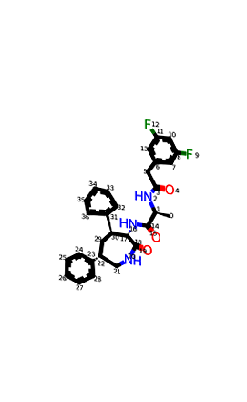 C[C@H](NC(=O)Cc1cc(F)cc(F)c1)C(=O)N[C@@H]1C(=O)NC[C@H](c2ccccc2)C[C@H]1c1ccccc1